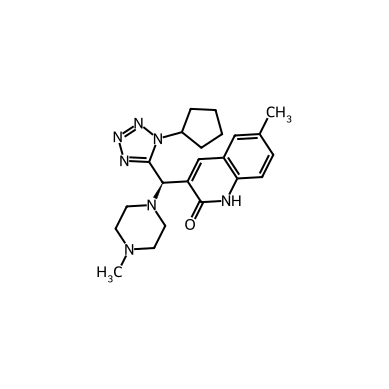 Cc1ccc2[nH]c(=O)c([C@H](c3nnnn3C3CCCC3)N3CCN(C)CC3)cc2c1